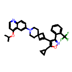 CC(C)Oc1ccnc2ccc(N3CCC4(C=C(c5c(-c6ccccc6C(F)(F)F)noc5C5CC5)C4)CC3)cc12